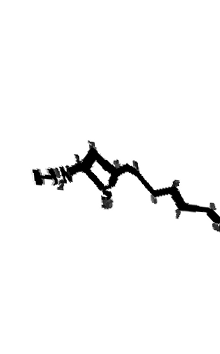 NC1CC(CCCCC=O)S1